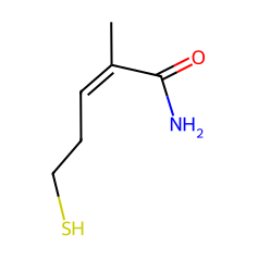 CC(=CCCS)C(N)=O